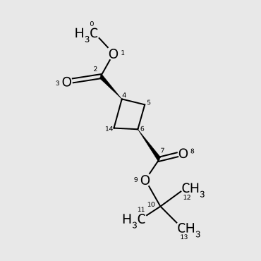 COC(=O)[C@H]1C[C@@H](C(=O)OC(C)(C)C)C1